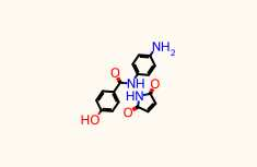 Nc1ccc(NC(=O)c2ccc(O)cc2)cc1.O=C1C=CC(=O)N1